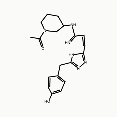 CC(=O)N1CCCC(NC(=N)/C=C\c2nnc(Cc3ccc(O)cc3)[nH]2)C1